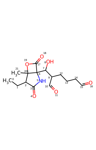 CCC1C(=O)NC2(C(O)C(C=O)CCCC=O)C(=O)OC12C